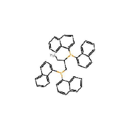 CCC(CP(c1cccc2ccccc12)c1cccc2ccccc12)P(c1cccc2ccccc12)c1cccc2ccccc12